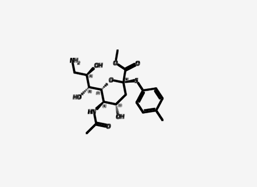 COC(=O)[C@]1(Sc2ccc(C)cc2)C[C@H](O)[C@@H](NC(C)=O)[C@H]([C@H](O)[C@H](O)CN)O1